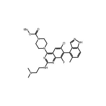 Cc1ccc2[nH]ncc2c1-c1c(Cl)cc2c(N3CCN(C(=O)OC(C)(C)C)CC3)nc(NCCN(C)C)nc2c1F